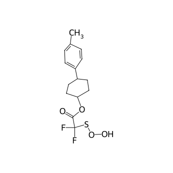 Cc1ccc(C2CCC(OC(=O)C(F)(F)SOO)CC2)cc1